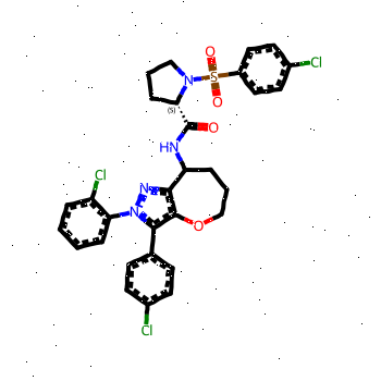 O=C(NC1CCCOc2c1nn(-c1ccccc1Cl)c2-c1ccc(Cl)cc1)[C@@H]1CCCN1S(=O)(=O)c1ccc(Cl)cc1